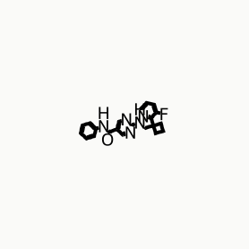 O=C(Nc1ccccc1)c1cnc(NCC2(c3ncccc3F)CCC2)nc1